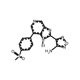 CCn1c(-c2nonc2N)nc2cncc(-c3ccc(S(C)(=O)=O)cc3)c21